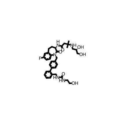 CC(C)(CC(=O)N[C@@H]1CCc2cc(F)ccc2N(Cc2ccc(-c3ccccc3CNC(=O)NCCO)cc2)C1=O)NC[C@H](O)CO